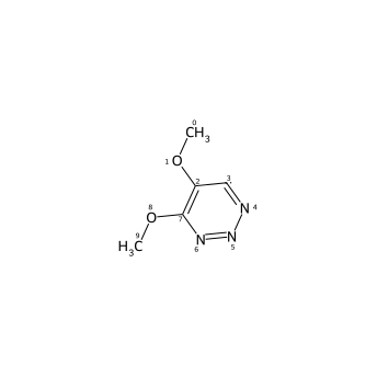 COc1[c]nnnc1OC